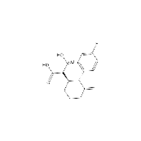 C=C1CCC[C@@H](C(C(=O)O)C(=O)O)[C@@H]1c1ccc(F)cc1